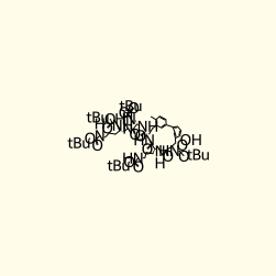 Cc1ccc2cc1C[C@@H](C(=O)N[C@@H](CNC(=O)OC(C)(C)C)C(=O)NC[C@H](CCCNC(=O)OC(C)(C)C)NC(=O)OC(C)(C)C)NC(=O)[C@H](CCCNC(=O)OC(C)(C)C)NC(=O)[C@@H](NC(=O)OC(C)(C)C)Cc1cc-2ccc1O